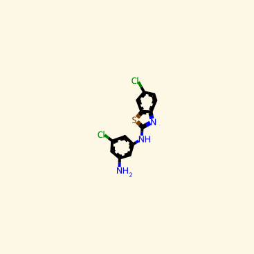 Nc1cc(Cl)cc(Nc2nc3ccc(Cl)cc3s2)c1